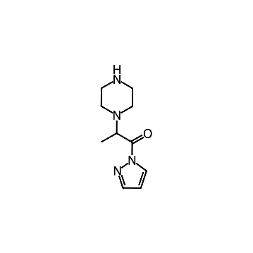 CC(C(=O)n1cccn1)N1CCNCC1